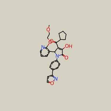 COCCOc1ncccc1C1C(C(=O)C2CCCC2)=C(O)C(=O)N1c1ccc(-c2ccon2)cc1